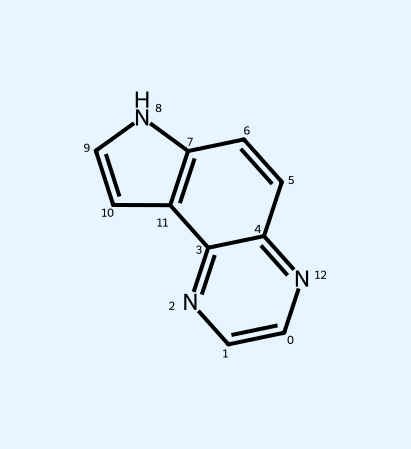 c1cnc2c(ccc3[nH]ccc32)n1